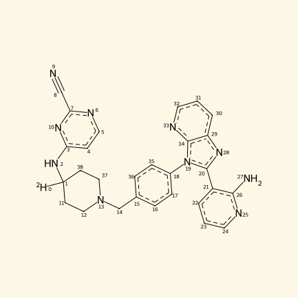 [2H]C1(Nc2ccnc(C#N)n2)CCN(Cc2ccc(-n3c(-c4cccnc4N)nc4cccnc43)cc2)CC1